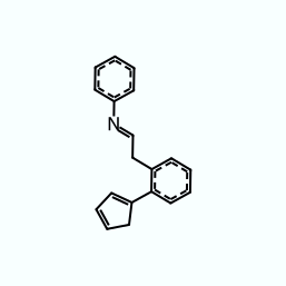 C1=CCC(c2ccccc2CC=Nc2ccccc2)=C1